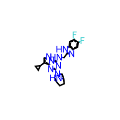 Fc1cc2nc(CNc3nc(N4CC5CCC(C4)N5)nc4c(C5CC5)cnn34)[nH]c2cc1F